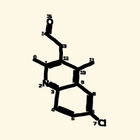 Cc1nc2ccc(Cl)cc2c(C)c1CC=O